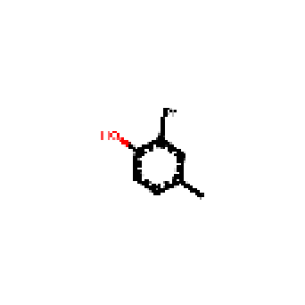 Cc1ccc(O)c(C(C)C)c1